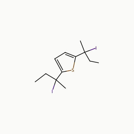 CCC(C)(I)c1ccc(C(C)(I)CC)s1